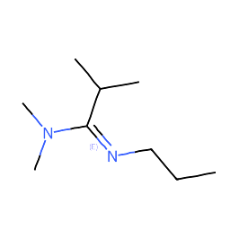 CCC/N=C(\C(C)C)N(C)C